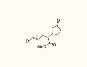 CC/C=C/CC(C(=O)OC)C1CCC(=O)C1